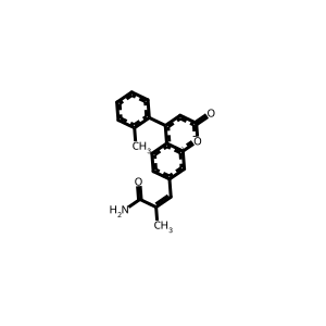 CC(=Cc1ccc2c(-c3ccccc3C)cc(=O)oc2c1)C(N)=O